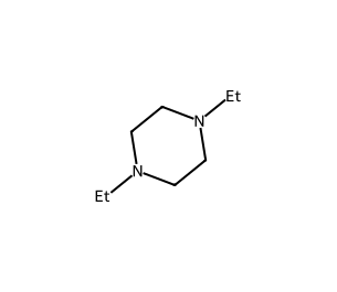 [CH2]CN1CCN(C[CH2])CC1